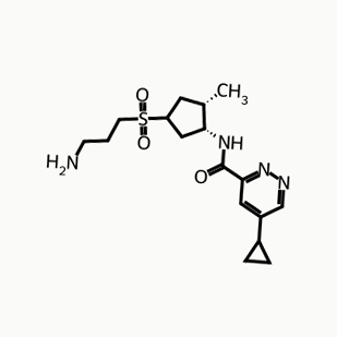 C[C@H]1CC(S(=O)(=O)CCCN)C[C@H]1NC(=O)c1cc(C2CC2)cnn1